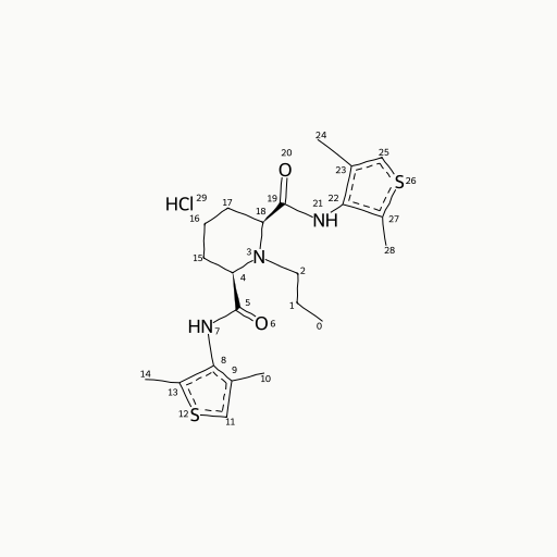 CCCN1[C@@H](C(=O)Nc2c(C)csc2C)CCC[C@H]1C(=O)Nc1c(C)csc1C.Cl